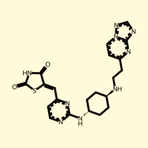 O=C1NC(=O)/C(=C/c2ccnc(N[C@H]3CC[C@H](NCCc4ccn5ncnc5n4)CC3)n2)S1